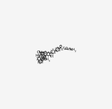 CCc1cc(Nc2ncc(Cl)c(Nc3ccc4nccnc4c3NS(C)(=O)=O)n2)c(OC)cc1N1CCC(N2CCN(C(=O)CCCOCCN)CC2)CC1